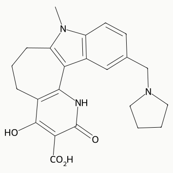 Cn1c2c(c3cc(CN4CCCC4)ccc31)-c1[nH]c(=O)c(C(=O)O)c(O)c1CCC2